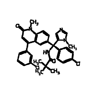 Cn1cncc1C(NC(=O)C(C)(C)C)(c1ccc(Cl)cc1)c1ccc2c(c1)c(-c1cccc(Cl)c1)cc(=O)n2C